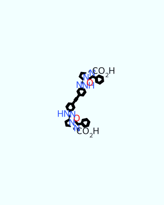 CN(C(=O)O)[C@@H](C(=O)N1CCC[C@H]1c1nc2cc(C#Cc3ccc4[nH]c([C@@H]5CCCN5C(=O)[C@@H](c5ccccc5)N(C)C(=O)O)nc4c3)ccc2[nH]1)c1ccccc1